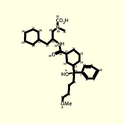 COCCCC[C@@](O)(c1ccccc1)C1CCCC(C(=O)NC(CC2CCCCC2)CN(C)C(=O)O)C1